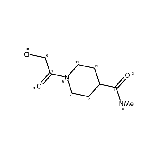 CNC(=O)C1CCN(C(=O)CCl)CC1